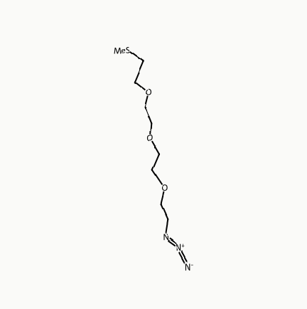 CSCCOCCOCCOCCN=[N+]=[N-]